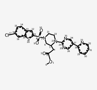 COC(=O)CC1CN(S(=O)(=O)c2cc3ccc(Cl)cc3s2)CCN1c1ncc(-c2ccccn2)cn1